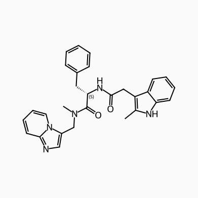 Cc1[nH]c2ccccc2c1CC(=O)N[C@@H](Cc1ccccc1)C(=O)N(C)Cc1cnc2ccccn12